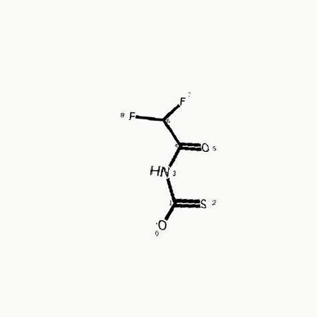 [O]C(=S)NC(=O)C(F)F